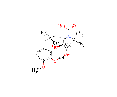 COc1ccc(CC(C)(C)C[C@@H]([C@H](O)CO)N(C(=O)O)C(C)(C)C)cc1OC